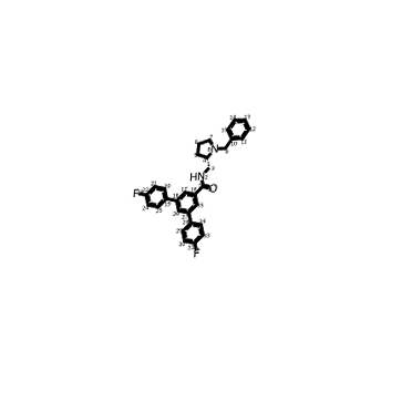 O=C(NC[C@@H]1CCCN1Cc1ccccc1)c1cc(-c2ccc(F)cc2)cc(-c2ccc(F)cc2)c1